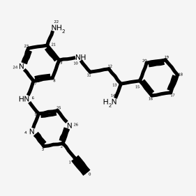 C#Cc1cnc(Nc2cc(NCCC(N)c3ccccc3)c(N)cn2)cn1